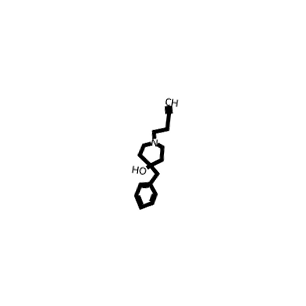 C#CCCN1CCC(O)(Cc2ccccc2)CC1